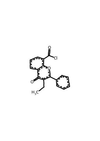 CCc1c(-c2ccccc2)oc2c(C(=O)Cl)cccc2c1=O